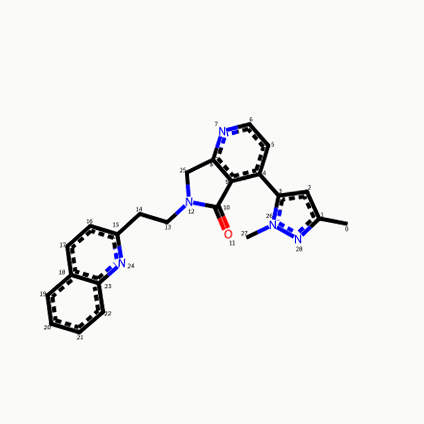 Cc1cc(-c2ccnc3c2C(=O)N(CCc2ccc4ccccc4n2)C3)n(C)n1